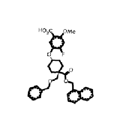 COc1cc(F)c(O[C@H]2CC[C@@](COCc3ccccc3)(C(=O)OCc3cccc4ccccc34)CC2)cc1C(=O)O